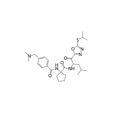 CC(C)CC(NC(=O)C1(NC(=O)c2ccc(CN(C)C)cc2)CCCC1)C(=O)c1nnc(SC(C)C)o1